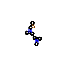 C1=C(n2c3ccccc3c3cc(-c4ccc5c(c4)c4ccccc4n5-c4ccccc4)ccc32)CCc2c1sc1ccccc21